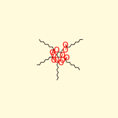 CCCCCCCC(=O)OC[C@H]1O[C@H](OC(=O)CCCCCCC)[C@H](OC(=O)CCCCCCC)[C@@H](OC(=O)CCCCCCC)[C@@H]1OC(=O)CCCCCCC